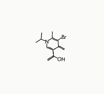 C=C(O)C1=CN(C(C)C)C(C)=C(Br)C1=C